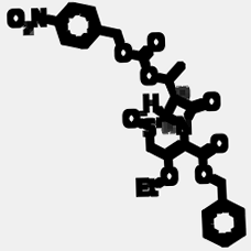 CCOC1=C(C(=O)OCc2ccccc2)N2C(=O)[C@H](C(C)OC(=O)OCc3ccc([N+](=O)[O-])cc3)[C@H]2[S+]([O-])C1